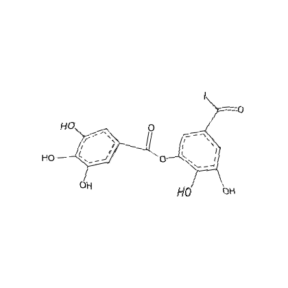 O=C(I)c1cc(O)c(O)c(OC(=O)c2cc(O)c(O)c(O)c2)c1